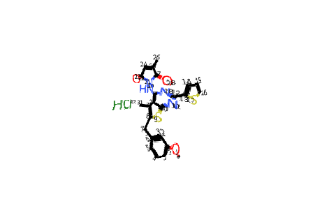 COc1cccc(Cc2sc3nc(-c4cccs4)nc(NN4C(=O)C=C(C)C4=O)c3c2C)c1.Cl